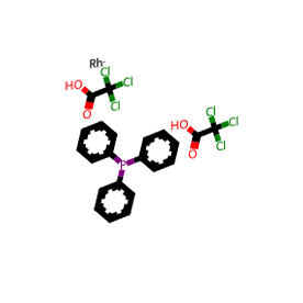 O=C(O)C(Cl)(Cl)Cl.O=C(O)C(Cl)(Cl)Cl.[Rh].c1ccc(P(c2ccccc2)c2ccccc2)cc1